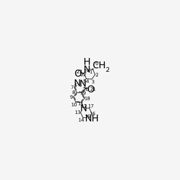 C=C1CCC(n2ncc3ccc(N4CCNCC4)cc3c2=O)C(=O)N1